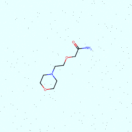 NC(=O)COCCN1CCOCC1